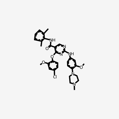 COc1cc(Cl)ccc1Oc1nc(Nc2ccc(N3CCN(C)CC3)c(OC)c2)ncc1C(=O)Nc1c(C)cccc1C